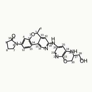 CC1Oc2cc(N3CCCC3=O)ccc2-c2cnc(Nc3cnc4c(c3)NC(CO)CO4)cc21